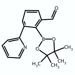 CC1(C)OB(c2c(C=O)cccc2-c2ccccn2)OC1(C)C